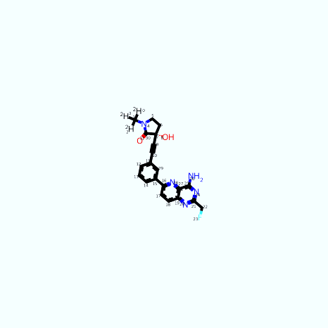 [2H]C([2H])([2H])N1CC[C@@](O)(C#Cc2cccc(-c3ccc4nc(CF)nc(N)c4n3)c2)C1=O